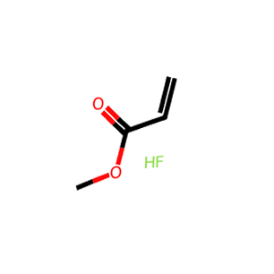 C=CC(=O)OC.F